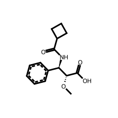 CO[C@@H](C(=O)O)[C@H](NC(=O)C1CCC1)c1ccccc1